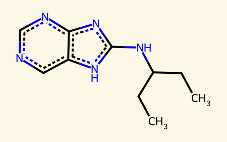 CCC(CC)Nc1nc2ncncc2[nH]1